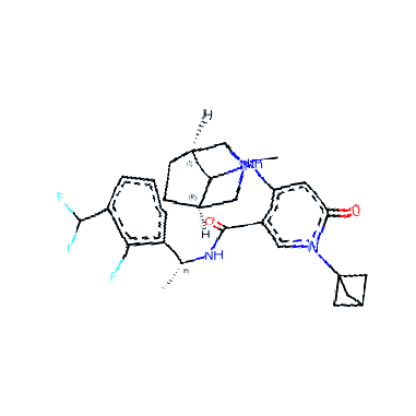 C[C@@H](NC(=O)c1cn(C23CC(C2)C3)c(=O)cc1NC1[C@@H]2CC[C@H]1CN(C)C2)c1cccc(C(F)F)c1F